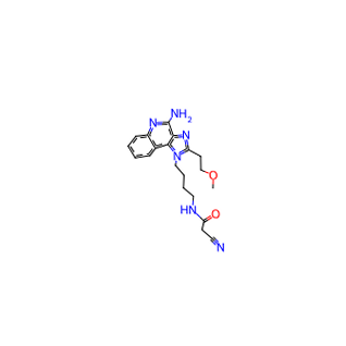 COCCc1nc2c(N)nc3ccccc3c2n1CCCCNC(=O)CC#N